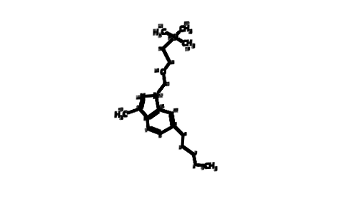 CCCCCc1ccc2c(C)nn(COCC[Si](C)(C)C)c2c1